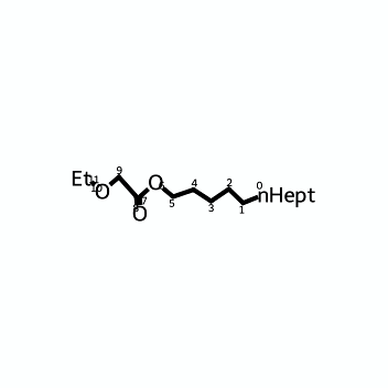 CCCCCCCCCCCCOC(=O)COCC